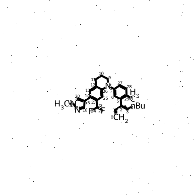 C=C/C(=C/CCCC)c1cc(N2CCCc3cc(-c4cnn(C)c4)c(C(F)F)cc32)ccc1C